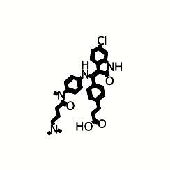 CN(C)CCCC(=O)N(C)c1ccc(NC(=C2C(=O)Nc3cc(Cl)ccc32)c2ccc(CCC(=O)O)cc2)cc1